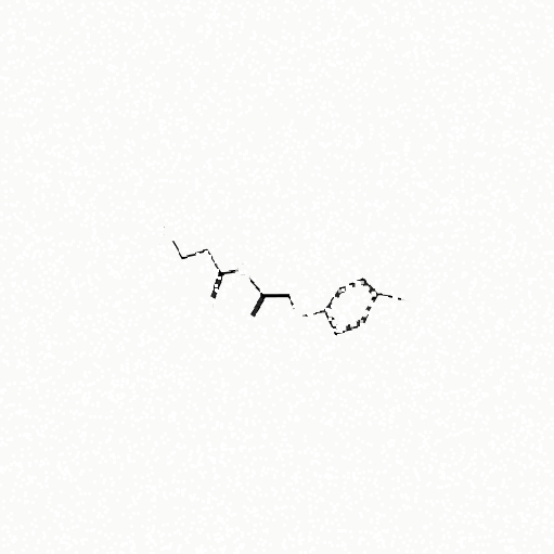 [CH2]CCC(=O)OC(=O)COc1ccc(F)cc1